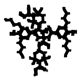 C=CC(=O)N1C(C)(C)CC(OC(=O)C(OC(=O)c2cc(CCCC)c(O)c(CCCC)c2)(OC(=O)c2cc(CCCC)c(O)c(CCCC)c2)C(=O)OC2CCC(C)(C)N(C(=O)C=C)C2(C)C)CC1(C)C